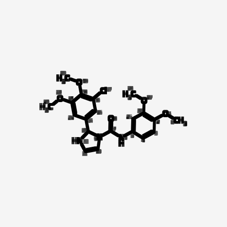 COc1ccc(NC(=O)N2C=CNC2c2cc(Cl)c(OC)c(OC)c2)cc1OC